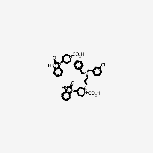 O=C(O)N1CCC(n2c(=O)[nH]c3ccccc32)CC1.O=C(O)N1CCC(n2c(=O)[nH]c3ccccc32)C[C@@H]1CCCN(Cc1ccccc1)Cc1cccc(Cl)c1